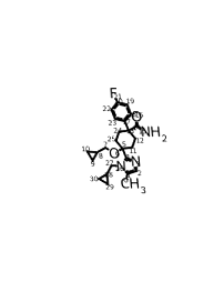 Cc1cnc(C2(OCC3CC3)CCC(C(N)=O)(c3ccc(F)cc3)CC2)n1CC1CC1